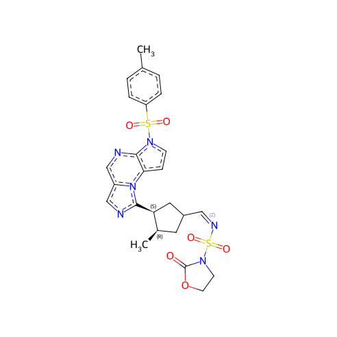 Cc1ccc(S(=O)(=O)n2ccc3c2ncc2cnc([C@H]4CC(/C=N\S(=O)(=O)N5CCOC5=O)C[C@H]4C)n23)cc1